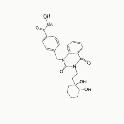 O=C(NO)c1ccc(Cn2c(=O)n(CCC3(O)CCCCC3O)c(=O)c3ccccc32)cc1